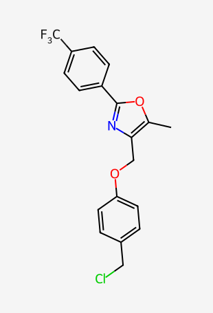 Cc1oc(-c2ccc(C(F)(F)F)cc2)nc1COc1ccc(CCl)cc1